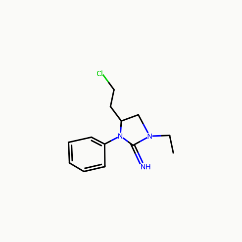 CCN1CC(CCCl)N(c2ccccc2)C1=N